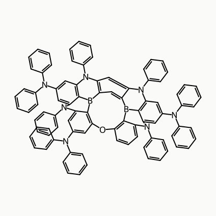 c1ccc(N(c2ccccc2)c2cc3c4c(c2)N(c2ccccc2)c2cc(N(c5ccccc5)c5ccccc5)cc5c2B4c2cc4c(cc2N5c2ccccc2)N(c2ccccc2)c2cc(N(c5ccccc5)c5ccccc5)cc5c2B4c2c(cccc2N5c2ccccc2)O3)cc1